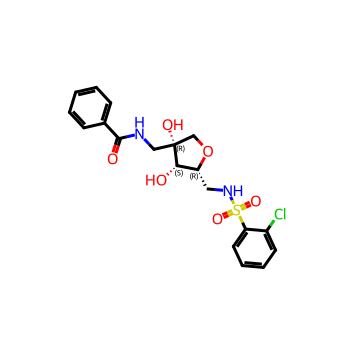 O=C(NC[C@@]1(O)CO[C@H](CNS(=O)(=O)c2ccccc2Cl)[C@@H]1O)c1ccccc1